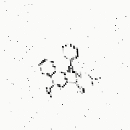 COc1cc2c(=O)n(CC(C)C)n(-c3ccccc3)c2c2ccccc12